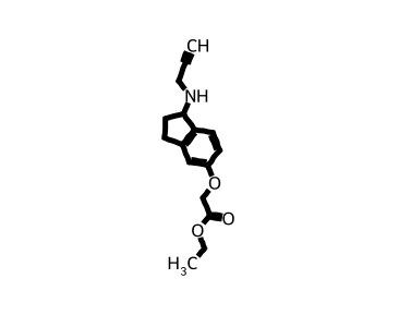 C#CCNC1CCc2cc(OCC(=O)OCC)ccc21